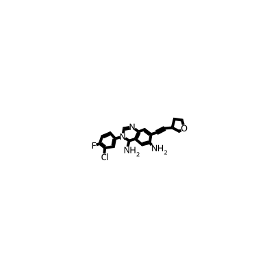 Nc1cc2c(cc1C#CC1CCOC1)N=CN(c1ccc(F)c(Cl)c1)C2N